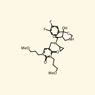 COCCCn1cc(CN(C(=O)C2CNCCC2(O)c2ccc(F)c(F)c2)C2CC2)c(=O)n(CCCOC)c1=O